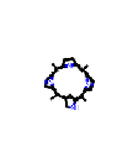 Cc1c2cc(c(C)c3ccc([nH]3)c(C)c3nc(c(C)c4[nH]c1CC4)C=C3)NC2